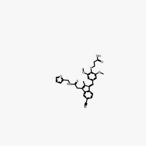 COc1cc(C=C2C(C)=C(CC(=S)NCc3ccco3)c3cc(C#N)ccc32)cc(OC)c1SCCC(=O)O